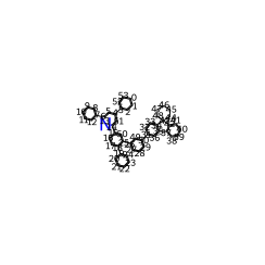 c1ccc(-c2cc(-c3ccccc3)nc(-c3ccc(-c4ccccc4)c(-c4cccc(-c5ccc6c(c5)-c5ccccc5C65CCCCC5)c4)c3)c2)cc1